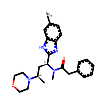 Bc1ccc2nc([C@H](C[C@@H](C)N3CCOCC3)N(C)C(=O)Cc3ccccc3)[nH]c2c1